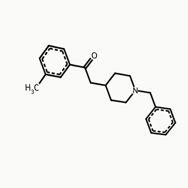 Cc1cccc(C(=O)CC2CCN(Cc3ccccc3)CC2)c1